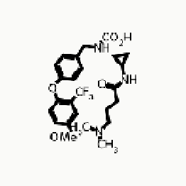 CN(C)CCCC(=O)NC1CC1.COc1ccc(Oc2ccc(CNC(=O)O)cc2)c(C(F)(F)F)c1